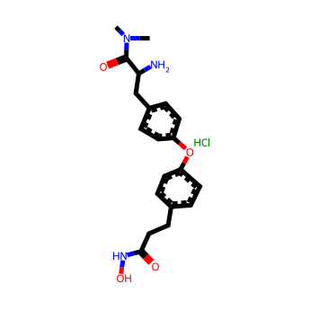 CN(C)C(=O)C(N)Cc1ccc(Oc2ccc(CCC(=O)NO)cc2)cc1.Cl